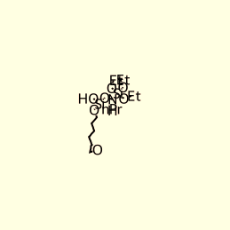 CCC[Si](O)(OCCCCC1CO1)ON[Si](OCC)(OCC)OCC